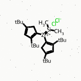 C[Si](C)=[Zr+2]([C]1=C(C(C)(C)C)C=C(C(C)(C)C)C1)[C]1=C(C(C)(C)C)C=C(C(C)(C)C)C1.[Cl-].[Cl-]